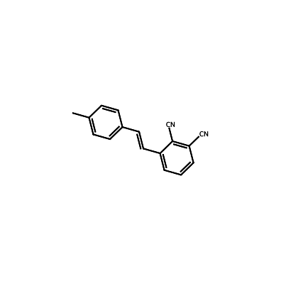 Cc1ccc(C=Cc2cccc(C#N)c2C#N)cc1